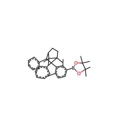 Cc1ccc(B2OC(C)(C)C(C)(C)O2)c(C)c1C1(c2ccccc2)C(c2ccccc2)C2CCC1(C)C2(C)C